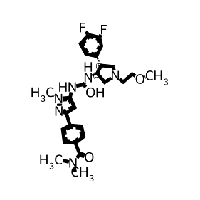 COCCN1C[C@@H](NC(O)Nc2cc(-c3ccc(C(=O)N(C)C)cc3)nn2C)[C@H](c2ccc(F)c(F)c2)C1